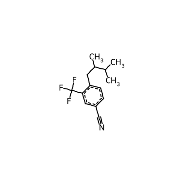 CC(C)C(C)Cc1ccc(C#N)cc1C(F)(F)F